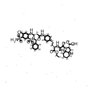 CCOC(=O)[C@@H](CSc1ccc(NC(=O)C[C@H]2Nc3cc(Cl)c(S(N)(=O)=O)cc3S(=O)(=O)N2Cc2ccccc2)cc1)NC(C)C(=O)N1[C@@H]2CCCC[C@@H]2C[C@H]1C(=O)O